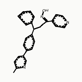 Cc1ccc(-c2ccc(C(CC(=NO)c3ccncc3)c3ccccc3)cc2)cn1